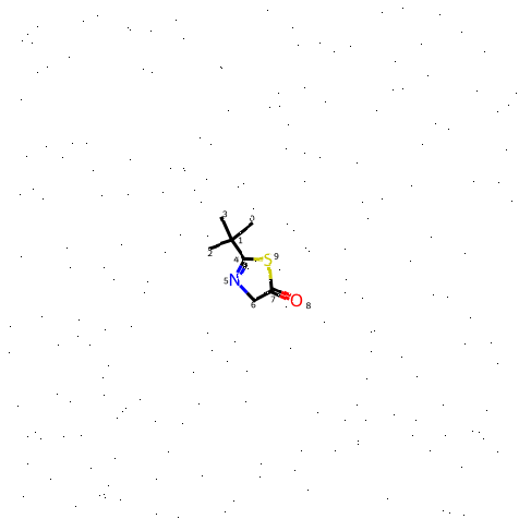 CC(C)(C)C1=NCC(=O)S1